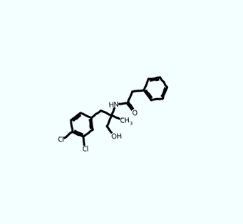 CC(CO)(Cc1ccc(Cl)c(Cl)c1)NC(=O)Cc1ccccc1